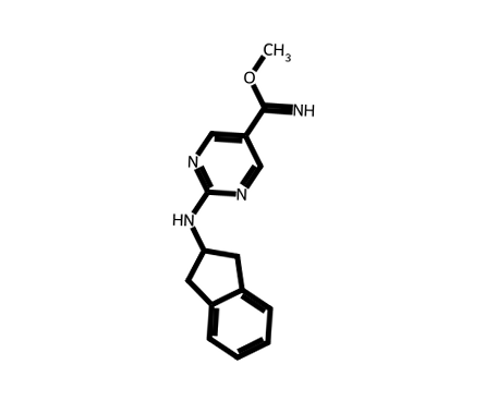 COC(=N)c1cnc(NC2Cc3ccccc3C2)nc1